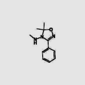 CNN1C(c2ccccc2)=NOC1(C)C